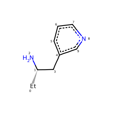 CC[C@H](N)Cc1cccnc1